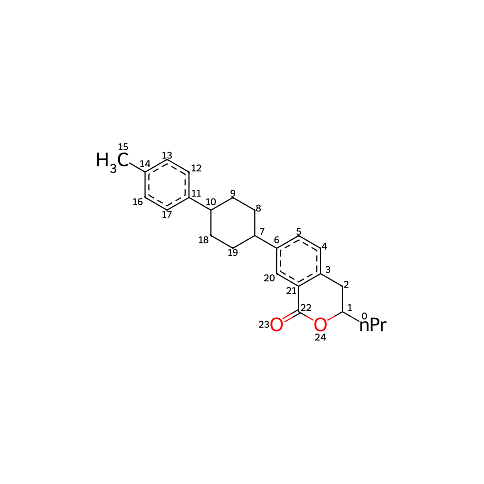 CCCC1Cc2ccc(C3CCC(c4ccc(C)cc4)CC3)cc2C(=O)O1